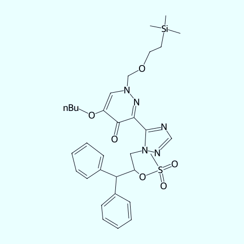 CCCCOc1cn(COCC[Si](C)(C)C)nc(-c2ncnn2CC(OS(C)(=O)=O)C(c2ccccc2)c2ccccc2)c1=O